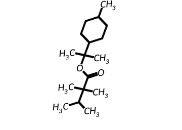 CC1CCC(C(C)(C)OC(=O)C(C)(C)C(C)C)CC1